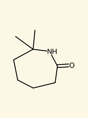 CC1(C)CCCCC(=O)N1